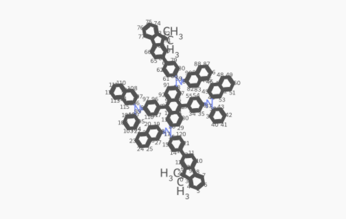 CC1(C)c2ccccc2-c2ccc(-c3ccc(N(c4ccc5ccccc5c4)c4ccc5c(-c6ccc(N(c7ccccc7)c7ccc8ccccc8c7)cc6)c6cc(N(c7ccc(-c8ccc9c(c8)C(C)(C)c8ccccc8-9)cc7)c7ccc8ccccc8c7)ccc6c(-c6ccc(N(c7ccccc7)c7ccc8ccccc8c7)cc6)c5c4)cc3)cc21